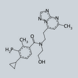 Cc1cc(CCN(CCO)C(=O)c2ccc(C3CC3)c(P)c2C)n2ncnc2n1